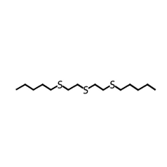 CCCCCSCCSCCSCCCCC